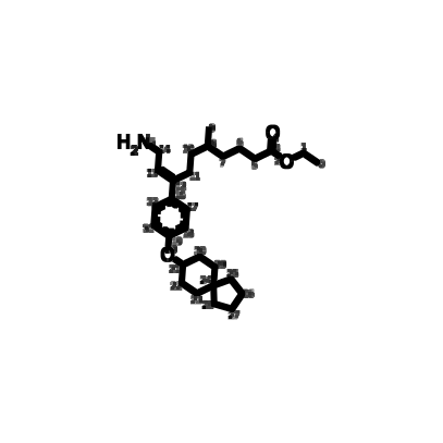 CCOC(=O)CCCC(C)CC/C(=C\CN)c1ccc(OC2CCC3(CCCC3)CC2)cc1